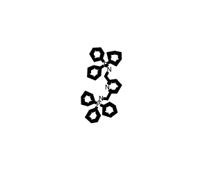 c1ccc(P(=NCc2cccc(CN=P(c3ccccc3)(c3ccccc3)c3ccccc3)n2)(c2ccccc2)c2ccccc2)cc1